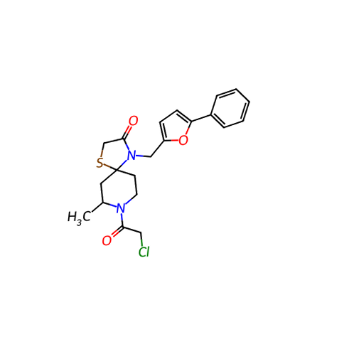 CC1CC2(CCN1C(=O)CCl)SCC(=O)N2Cc1ccc(-c2ccccc2)o1